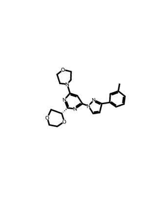 Cc1cccc(-c2ccn(-c3cc(N4CCOCC4)nc([C@H]4COCCO4)n3)n2)c1